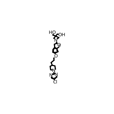 O=C(Cc1ccc(OCCCC2CCN(c3ncc(Cl)cn3)CC2)cc1F)N1CC(CO)(CO)C1